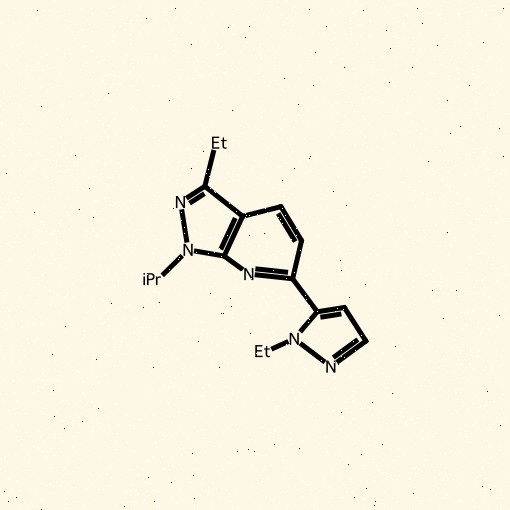 CCc1nn(C(C)C)c2nc(-c3ccnn3CC)ccc12